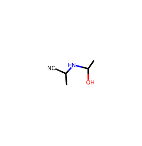 CC(O)NC(C)C#N